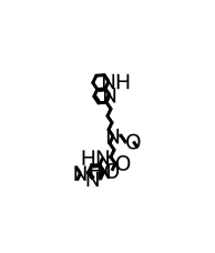 COCCN(CCCCc1ccc2c(n1)NCCC2)CCC(Nc1cc(N(C)C)ncn1)C(=O)O